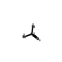 CC[Si](=O)CC